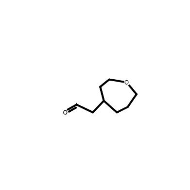 O=[C]CC1CCCOCC1